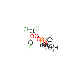 CC(C)(C)[Si](OC(CC(=O)O)C[PH](=O)OCOCc1c(Cl)cc(Cl)cc1OCc1ccc(F)cc1)(c1ccccc1)c1ccccc1